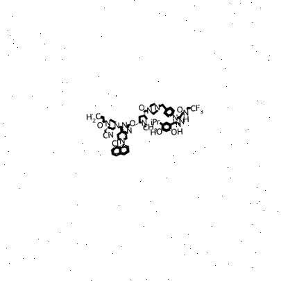 C=CC(=O)N1CCN(c2nc(OC[C@@H]3C[C@H](C(=O)N4CCN(Cc5ccc(-n6c(C(=O)NCC(F)(F)F)nnc6-c6cc(C(C)C)c(O)cc6O)cc5)CC4)CN3C)nc3c2CCN(c2cccc4cccc(Cl)c24)C3)C[C@@H]1CC#N